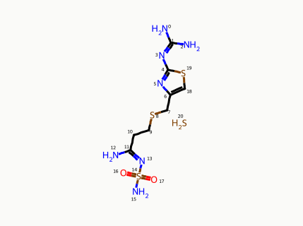 NC(N)=Nc1nc(CSCCC(N)=NS(N)(=O)=O)cs1.S